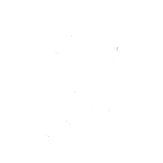 O=C1NC(=O)C(c2cnc3ccccn23)=C1c1cn2c3c(cc(C(F)(F)F)cc13)CN(C(=O)N1CCCCC1)CC2